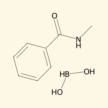 CNC(=O)c1ccccc1.OBO